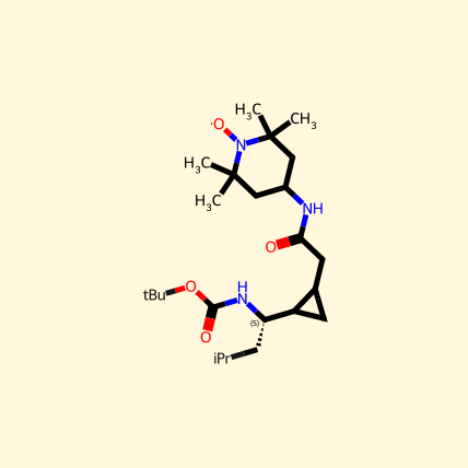 CC(C)C[C@H](NC(=O)OC(C)(C)C)C1CC1CC(=O)NC1CC(C)(C)N([O])C(C)(C)C1